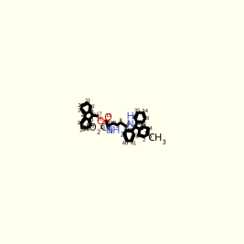 Cc1ccc(C(NCCCC[C@](N)(C(=O)O)C(=O)OCC2c3ccccc3-c3ccccc32)(c2ccccc2)c2ccccc2)cc1